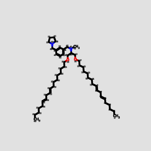 CCCCCC=CCC=CCCCCCCCCOCC(COCCCCCCCCC=CCC=CCCCCC)N(C)Cc1cccc(CN2CCCC2)c1